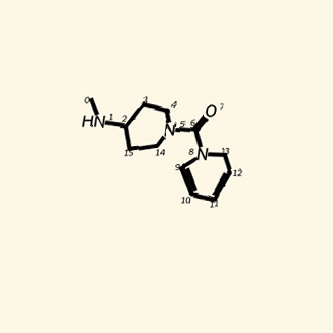 CNC1CCN(C(=O)N2C=CC=CC2)CC1